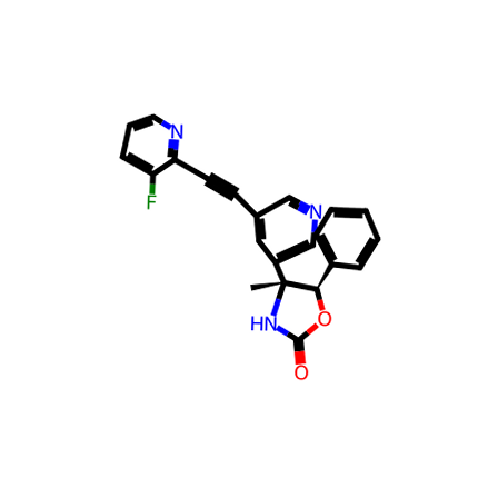 C[C@]1(c2cncc(C#Cc3ncccc3F)c2)NC(=O)O[C@@H]1c1ccccc1